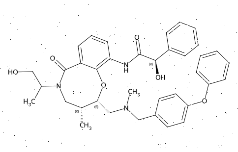 CC(CO)N1C[C@@H](C)[C@@H](CN(C)Cc2ccc(Oc3ccccc3)cc2)Oc2c(NC(=O)[C@H](O)c3ccccc3)cccc2C1=O